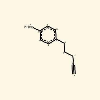 [C]#CCCCc1ccc(CCCCCC)cc1